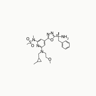 COCCN(CC1CC1C)c1cc(-c2nnc([C@](C)(N)Cc3ccccc3)o2)cc(N(C)S(C)(=O)=O)n1